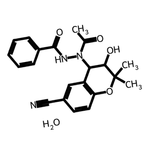 CC(=O)N(NC(=O)c1ccccc1)C1c2cc(C#N)ccc2OC(C)(C)C1O.O